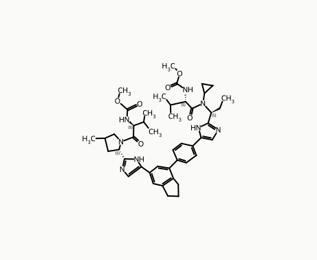 CC[C@@H](c1ncc(-c2ccc(-c3cc(-c4cnc([C@@H]5CC(C)CN5C(=O)[C@@H](NC(=O)OC)C(C)C)[nH]4)cc4c3CCC4)cc2)[nH]1)N(C(=O)[C@@H](NC(=O)OC)C(C)C)C1CC1